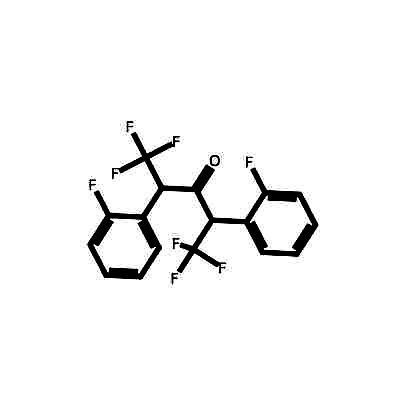 O=C(C(c1ccccc1F)C(F)(F)F)C(c1ccccc1F)C(F)(F)F